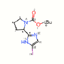 CC(C)(C)OC(=O)N1CCCC1c1ncc(I)[nH]1